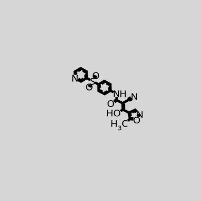 Cc1oncc1/C(O)=C(\C#N)C(=O)Nc1ccc(S(=O)(=O)c2cccnc2)cc1